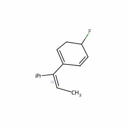 C/C=C(\C1=CCC(F)C=C1)C(C)C